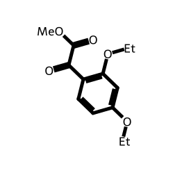 CCOc1ccc(C(=O)C(=O)OC)c(OCC)c1